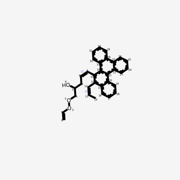 C=COOCC(O)C/C=C\c1c(/C=C\C)c2ccccc2c2c3ccccc3c3ccccc3c12